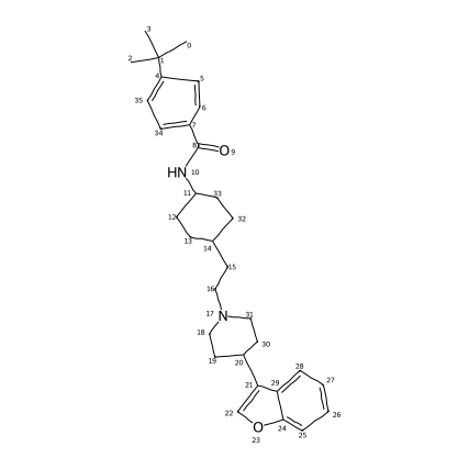 CC(C)(C)c1ccc(C(=O)NC2CCC(CCN3CCC(c4coc5ccccc45)CC3)CC2)cc1